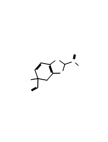 O=CC1(O)C=CC2=C(C1)OC([N+](=O)[O-])O2